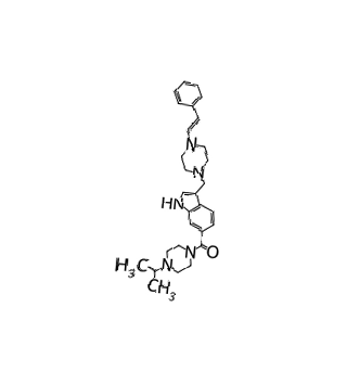 CC(C)N1CCN(C(=O)c2ccc3c(CN4CCN(C=Cc5ccccc5)CC4)c[nH]c3c2)CC1